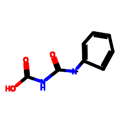 O=C(O)NC(=O)[N]c1ccccc1